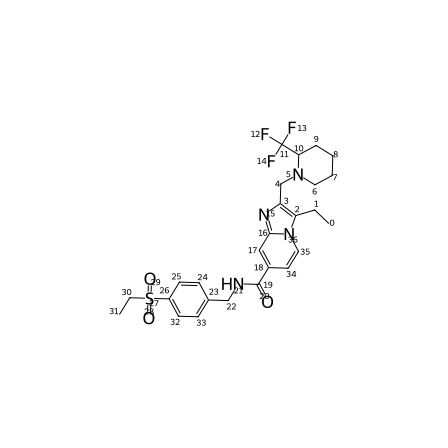 CCc1c(CN2CCCCC2C(F)(F)F)nc2cc(C(=O)NCc3ccc(S(=O)(=O)CC)cc3)ccn12